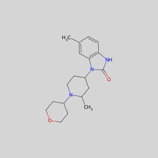 Cc1ccc2[nH]c(=O)n(C3CCN(C4CCOCC4)C(C)C3)c2c1